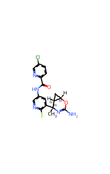 C[C@]1(c2cc(NC(=O)c3ccc(Cl)cn3)cnc2F)N=C(N)O[C@H]2C[C@H]21